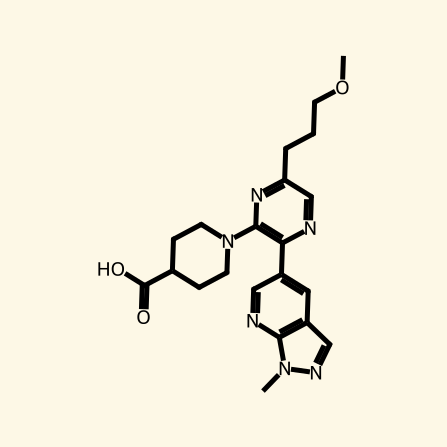 COCCCc1cnc(-c2cnc3c(cnn3C)c2)c(N2CCC(C(=O)O)CC2)n1